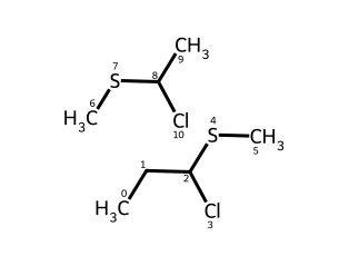 CCC(Cl)SC.CSC(C)Cl